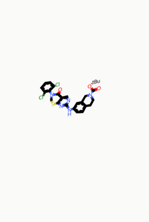 CC(C)(C)OC(=O)N1CCc2ccc(Nc3ncc4c(n3)SCN(c3c(Cl)cccc3Cl)C4=O)cc2C1